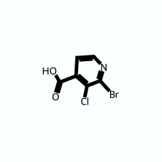 O=C(O)c1ccnc(Br)c1Cl